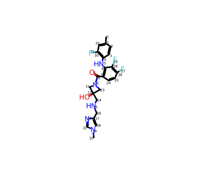 Cc1ccc(Nc2c(C(=O)N3CC(O)(CNCc4cn(C)cn4)C3)ccc(F)c2F)c(F)c1